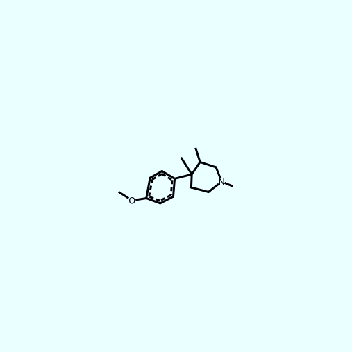 COc1ccc(C2(C)CCN(C)CC2C)cc1